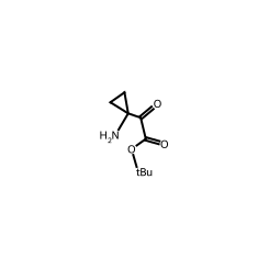 CC(C)(C)OC(=O)C(=O)C1(N)CC1